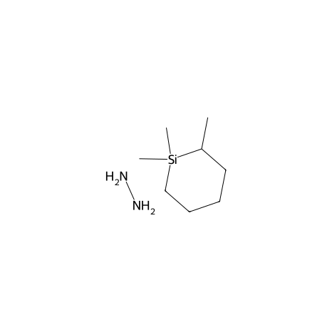 CC1CCCC[Si]1(C)C.NN